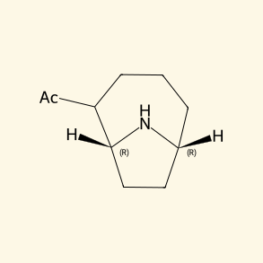 CC(=O)C1CCC[C@@H]2CC[C@H]1N2